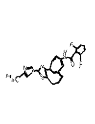 Cc1cn(-c2nc3c(s2)CCCc2cc(NC(=O)c4c(F)cccc4F)ccc2-3)cn1